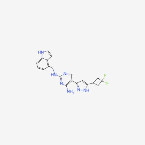 Nc1nc(NCc2cccc3[nH]ccc23)ncc1-c1cc(C2CC(F)(F)C2)[nH]n1